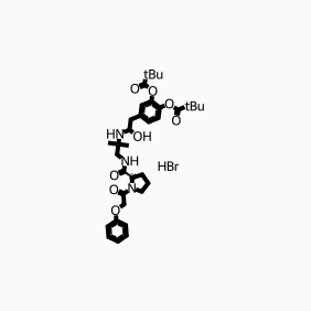 Br.CC(C)(CNC(=O)[C@H]1CCCN1C(=O)COc1ccccc1)NC(O)Cc1ccc(OC(=O)C(C)(C)C)c(OC(=O)C(C)(C)C)c1